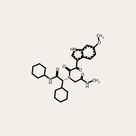 CNC(=O)CN(C(=O)C(=O)c1c[nH]c2cc(OC)ccc12)[C@@H](C(=O)NC1CCCCC1)C1CCCCC1